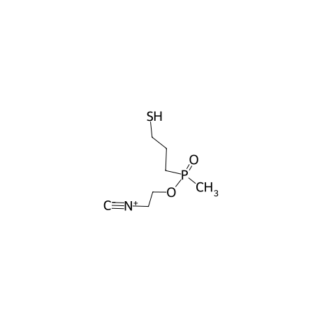 [C-]#[N+]CCOP(C)(=O)CCCS